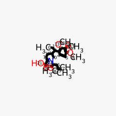 CCC(c1ccc(OC)c(OC)c1OC)C1CCC(C(=O)O)N(C(=O)CC(C)(C)C)C1